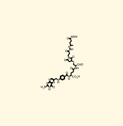 CNC(=O)CC/C(C)=N/NC(=O)CCN1C(=O)CC(SC[C@@H](C=O)NC(=O)CC[C@H](NC(=O)c2ccc(NCc3cnc4nc(N)[nH]c(=O)c4n3)cc2)C(=O)O)C1=O